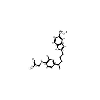 Cc1cc(C(C)CCCc2cc3cc(C(=O)O)ccc3o2)ccc1OCC(=O)C(C)(C)C